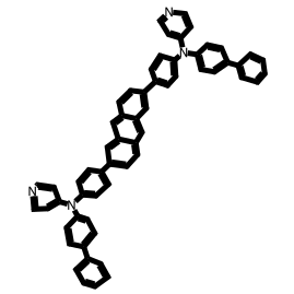 c1ccc(-c2ccc(N(c3ccncc3)c3ccc(-c4ccc5cc6cc(-c7ccc(N(c8ccncc8)c8ccc(-c9ccccc9)cc8)cc7)ccc6cc5c4)cc3)cc2)cc1